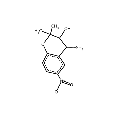 CC1(C)Oc2ccc([N+](=O)[O-])cc2C(N)C1O